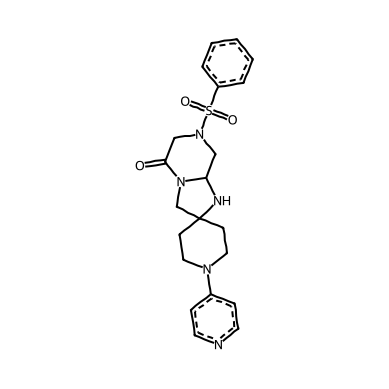 O=C1CN(S(=O)(=O)c2ccccc2)CC2NC3(CCN(c4ccncc4)CC3)CN12